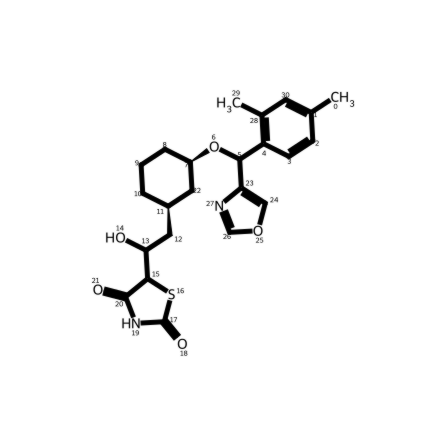 Cc1ccc(C(O[C@@H]2CCC[C@H](CC(O)C3SC(=O)NC3=O)C2)c2cocn2)c(C)c1